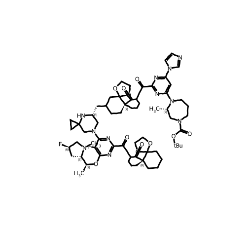 C[C@H](Oc1nc(C(=O)C2CCC[C@@]3(CCCCC34OCCO4)C2=O)nc(N2C[C@@H](CC3CC[C@@]4(CCCC(C(=O)c5nc(N6CCCN(C(=O)OC(C)(C)C)C[C@@H]6C)cc(-n6ccnc6)n5)C4=O)C4(C3)OCCO4)NC3(CC3)C2)c1F)[C@@H]1C[C@@H](F)CN1C